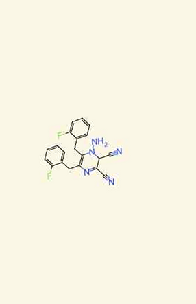 N#CC1=NC(Cc2ccccc2F)=C(Cc2ccccc2F)N(N)C1C#N